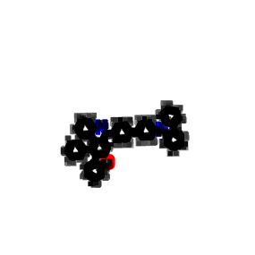 c1ccc(-c2c3c(cc4c(-c5ccc(-c6ccc(-n7c8ccccc8c8ccccc87)cc6)cc5)nc5ccccc5c24)oc2ccccc23)cc1